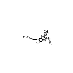 CCNc1nc2cc(Cl)c(C#CCCCCO)cc2nc1NCC